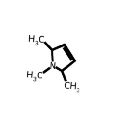 CC1C=CC(C)N1C